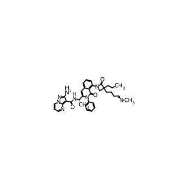 CCCC1(CCC/C=N/C)CN(c2cccc3cc([C@H](C)NC(=O)c4c(N)nn5cccnc45)n(-c4ccccc4)c(=O)c23)C1=O